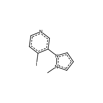 C[n+]1cccn1-c1cnccc1I